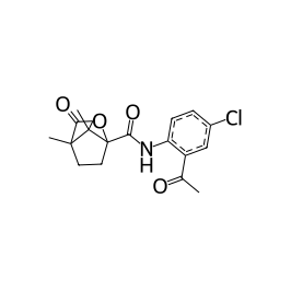 CC(=O)c1cc(Cl)ccc1NC(=O)C12CCC(C)(C(=O)O1)C2(C)C